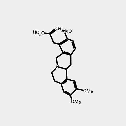 C=C(Cc1c(OC)ccc2c1CN1CCc3cc(OC)c(OC)cc3C1C2)C(=O)O